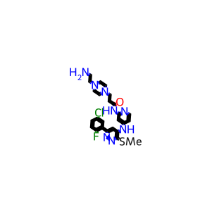 CSc1nnc(-c2cc(Cl)ccc2F)cc1Nc1ccnc(NC(=O)CCN2CCN(CCN)CC2)c1